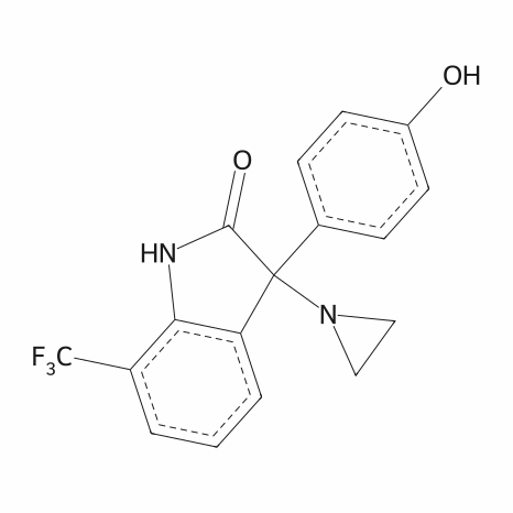 O=C1Nc2c(C(F)(F)F)cccc2C1(c1ccc(O)cc1)N1CC1